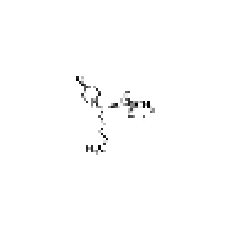 CCCCCC(C#C[Si](C)(C)C)N1CCC(=O)CC1